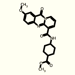 COC(=O)C1CCC(NC(=O)c2cccn3c(=O)c4cc(OC)ccc4nc23)CC1